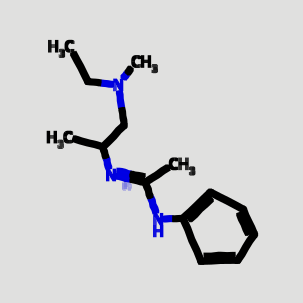 CCN(C)CC(C)/N=C(\C)Nc1ccccc1